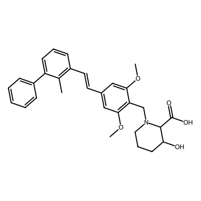 COc1cc(/C=C/c2cccc(-c3ccccc3)c2C)cc(OC)c1CN1CCCC(O)C1C(=O)O